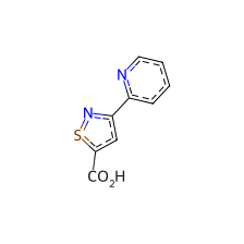 O=C(O)c1cc(-c2ccccn2)ns1